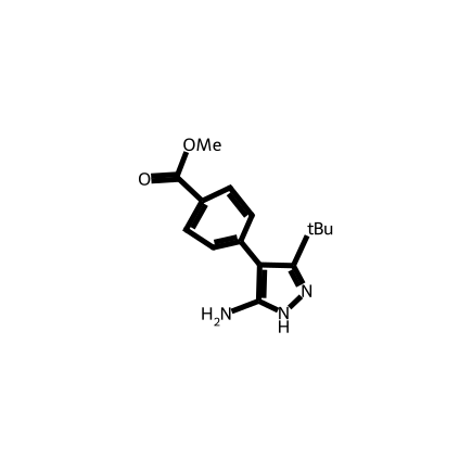 COC(=O)c1ccc(-c2c(C(C)(C)C)n[nH]c2N)cc1